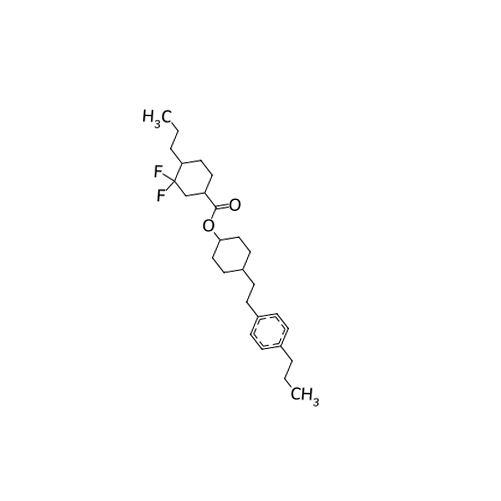 CCCc1ccc(CCC2CCC(OC(=O)C3CCC(CCC)C(F)(F)C3)CC2)cc1